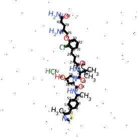 Cc1ncsc1-c1ccc(C(C)NC(=O)[C@@H]2C[C@@H](O)CN2C(=O)C(NC(=O)CCCc2cccc(OCC(N)CCC(N)=O)c2Cl)C(C)(C)C)cc1.Cl